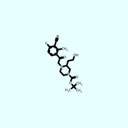 Cc1c(C(=O)CN2CCN(C(=O)OC(C)(C)C)CC2CCO)ccc(F)c1C#N